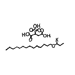 CCCCCCCCCCCCCCO[CH]([K])CC.O=C(O)CC(C(=O)O)S(=O)(=O)O